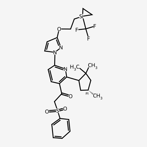 C[C@@H]1CC(c2nc(-n3ccc(OCC[Si]4(C(F)(F)F)CC4)n3)ccc2C(=O)CS(=O)(=O)c2ccccc2)C(C)(C)C1